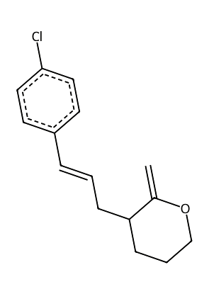 C=C1OCCCC1C/C=C/c1ccc(Cl)cc1